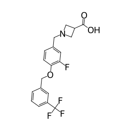 O=C(O)C1CN(Cc2ccc(OCc3cccc(C(F)(F)F)c3)c(F)c2)C1